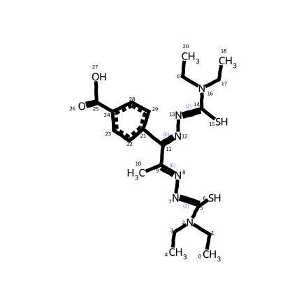 CCN(CC)/C(S)=N/N=C(C)/C(=N/N=C(\S)N(CC)CC)c1ccc(C(=O)O)cc1